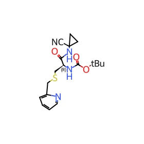 CC(C)(C)OC(=O)N[C@@H](CSCc1ccccn1)C(=O)NC1(C#N)CC1